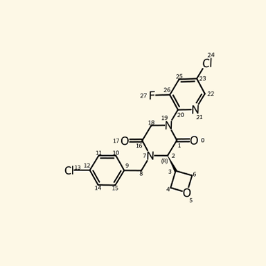 O=C1[C@@H](C2COC2)N(Cc2ccc(Cl)cc2)C(=O)CN1c1ncc(Cl)cc1F